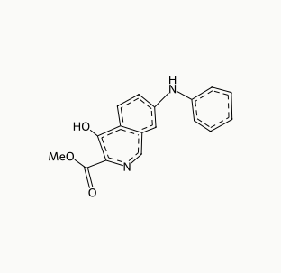 COC(=O)c1ncc2cc(Nc3ccccc3)ccc2c1O